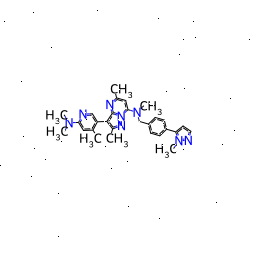 Cc1cc(N(C)Cc2ccc(-c3ccnn3C)cc2)n2nc(C)c(-c3cnc(N(C)C)cc3C)c2n1